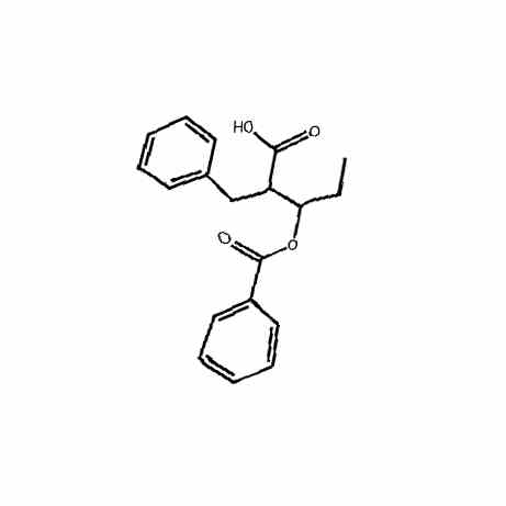 CCC(OC(=O)c1ccccc1)C(Cc1ccccc1)C(=O)O